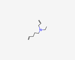 C=CCCCN(CC)CC=C